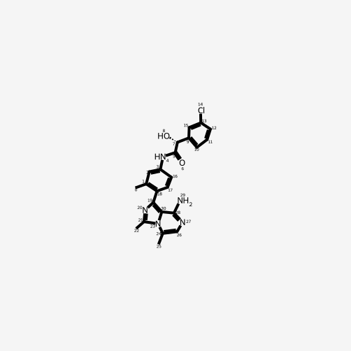 Cc1cc(NC(=O)[C@H](O)c2cccc(Cl)c2)ccc1-c1nc(C)n2c(C)cnc(N)c12